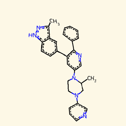 Cc1n[nH]c2ccc(-c3cc(N4CCN(c5cccnc5)CC4C)cnc3-c3ccccc3)cc12